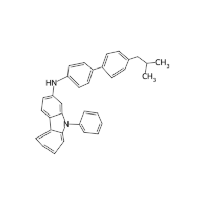 CC(C)Cc1ccc(-c2ccc(Nc3ccc4c5ccccc5n(-c5ccccc5)c4c3)cc2)cc1